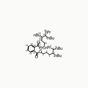 CCCCC(CCC)C(CCCC)CCCOC(=O)c1ccccc1C(=O)OCCCC(CCCC)C(CCC)CCCC